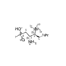 CC(C)C[C@@H]([C@H](N)CP(C)(=O)O)[N+](C)(C)C